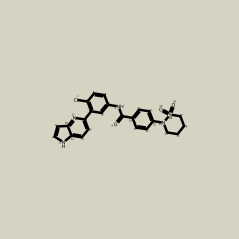 O=C(Nc1ccc(Cl)c(-c2ccc3[nH]ccc3n2)c1)c1ccc(N2CCCCS2(=O)=O)cc1